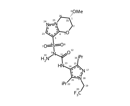 CO[C@@H]1COc2c(S(=O)(=O)N(N)C(=O)Nc3c(C(C)C)nn(CC(F)(F)F)c3C(C)C)cnn2C1